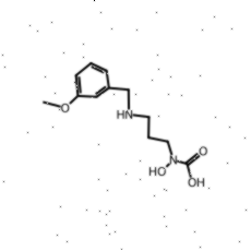 COc1cccc(CNCCCN(O)C(=O)O)c1